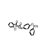 N#CC(Oc1ccc(NC(=O)NC(=O)c2ccccc2Cl)cc1)c1ccccc1